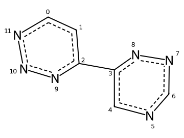 c1cc(-c2cncnn2)nnn1